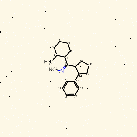 CC1CCCCC1C(=NC#N)C1CCCC1c1ccccc1